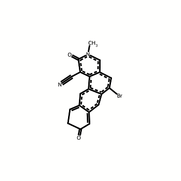 Cn1cc2cc(Br)c3cc4c(cc3c2c(C#N)c1=O)=CCC(=O)C=4